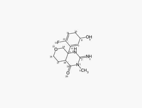 CN1C(=N)NC2(C3=CC(O)CC=C3F)COCCC2C1=O